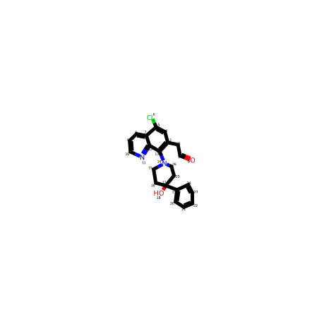 O=CCc1cc(Cl)c2cccnc2c1N1CCC(O)(c2ccccc2)CC1